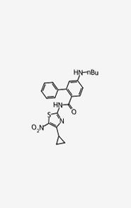 CCCCNc1ccc(C(=O)Nc2nc(C3CC3)c([N+](=O)[O-])s2)c(-c2ccccc2)c1